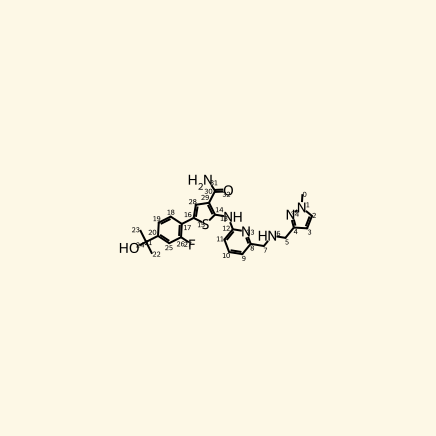 Cn1ccc(CNCc2cccc(Nc3sc(-c4ccc(C(C)(C)O)cc4F)cc3C(N)=O)n2)n1